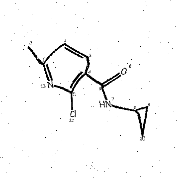 Cc1ccc(C(=O)NC2CC2)c(Cl)n1